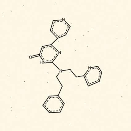 O=c1cc(-c2ccncc2)nc(N(CCc2ccccc2)CCc2ccccn2)[nH]1